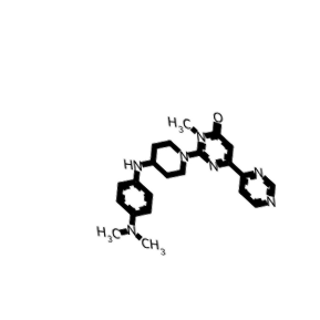 CN(C)c1ccc(NC2CCN(c3nc(-c4ccncn4)cc(=O)n3C)CC2)cc1